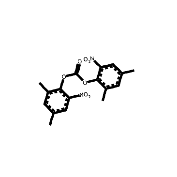 Cc1cc(C)c(OC(=O)Oc2c(C)cc(C)cc2[N+](=O)[O-])c([N+](=O)[O-])c1